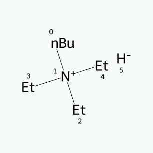 CCCC[N+](CC)(CC)CC.[H-]